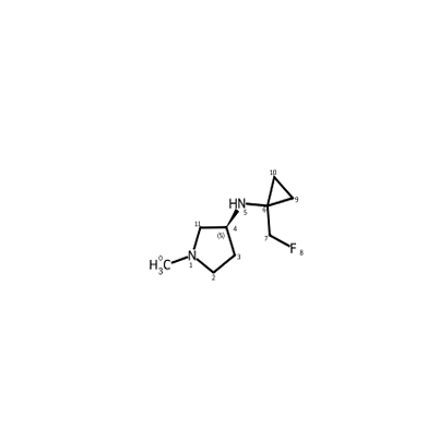 CN1CC[C@H](NC2(CF)CC2)C1